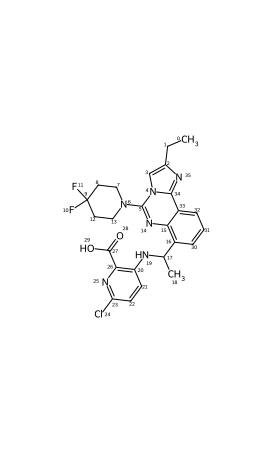 CCc1cn2c(N3CCC(F)(F)CC3)nc3c(C(C)Nc4ccc(Cl)nc4C(=O)O)cccc3c2n1